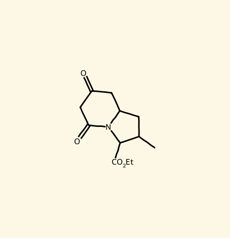 CCOC(=O)C1C(C)CC2CC(=O)CC(=O)N21